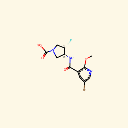 COc1ncc(Br)cc1C(=O)N[C@@H]1CN(C(=O)O)C[C@@H]1F